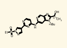 CC[C@@H](C)n1c([C@@H](C)O)nc2cnc(Nc3ccnc(-c4cnn(S(=O)(=O)CC)c4)n3)cc21